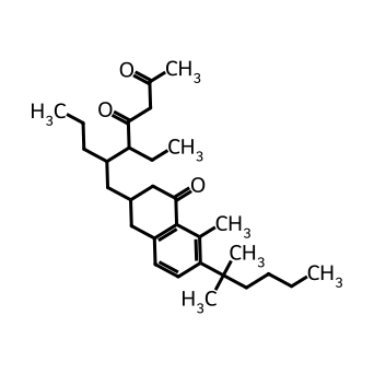 CCCCC(C)(C)c1ccc2c(c1C)C(=O)CC(CC(CCC)C(CC)C(=O)CC(C)=O)C2